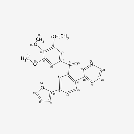 COc1cc(C(=O)c2cc(-c3ccco3)ccc2-c2cccnc2)cc(OC)c1OC